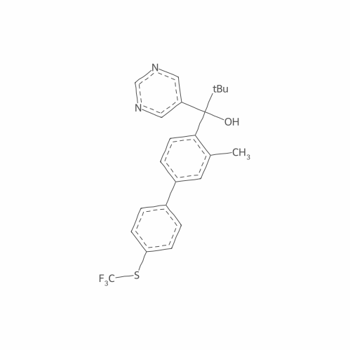 Cc1cc(-c2ccc(SC(F)(F)F)cc2)ccc1C(O)(c1cncnc1)C(C)(C)C